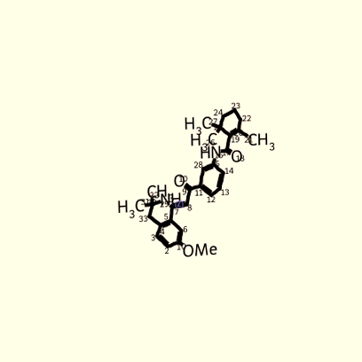 COc1ccc2c(c1)/C(=C/C(=O)c1cccc(NC(=O)C3=C(C)CCCC3(C)C)c1)NC(C)(C)C2